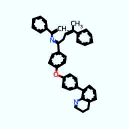 C=C(/N=C(\C/C=C(/C)c1ccccc1)c1ccc(Oc2ccc(-c3cccc4c3N=CCC4)cc2)cc1)c1ccccc1